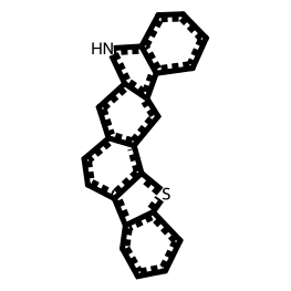 c1ccc2c(c1)[nH]c1cc3ccc4c5ccccc5sc4c3cc12